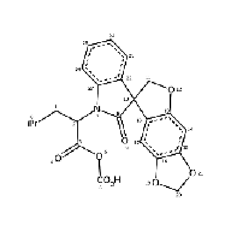 CC(C)CC(C(=O)OC(=O)O)N1C(=O)C2(COc3cc4c(cc32)OCO4)c2ccccc21